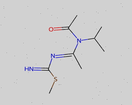 CSC(=N)/N=C(\C)N(C(C)=O)C(C)C